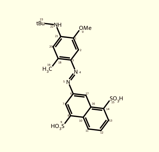 COc1cc(N=Nc2cc(S(=O)(=O)O)c3cccc(S(=O)(=O)O)c3c2)c(C)cc1NC(C)(C)C